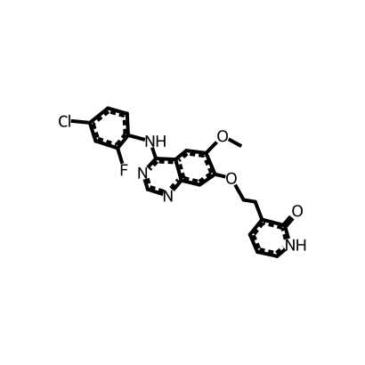 COc1cc2c(Nc3ccc(Cl)cc3F)ncnc2cc1OCCc1ccc[nH]c1=O